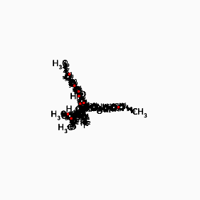 CCCCC[C@H]1CC[C@H](c2ccc(-c3ccc(C(=O)Nc4ccc(-c5cc(-c6ccc(NC(=O)c7ccc(-c8ccc([C@H]9CC[C@H](CCCCC)CC9)cc8)cc7)cc6)c6c(c5)-c5c(c7c(c8cc(C(F)(F)F)ccc58)OC(c5ccc(OC)cc5)(c5ccc(OC)cc5)C=C7)C6(C)C)cc4)cc3)cc2)CC1